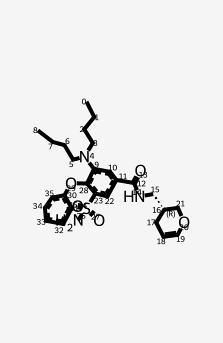 CCCCN(CCCC)c1cc(C(=O)NC[C@H]2CC=COC2)cc(S(N)(=O)=O)c1Oc1ccccc1